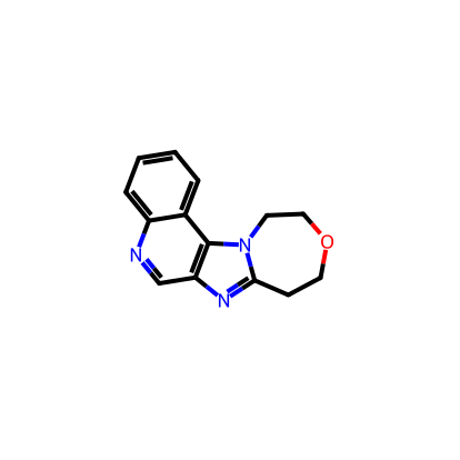 c1ccc2c(c1)ncc1nc3n(c12)CCOCC3